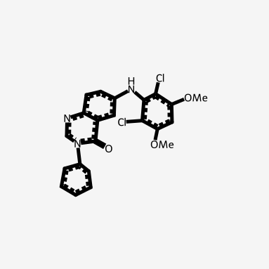 COc1cc(OC)c(Cl)c(Nc2ccc3ncn(-c4ccccc4)c(=O)c3c2)c1Cl